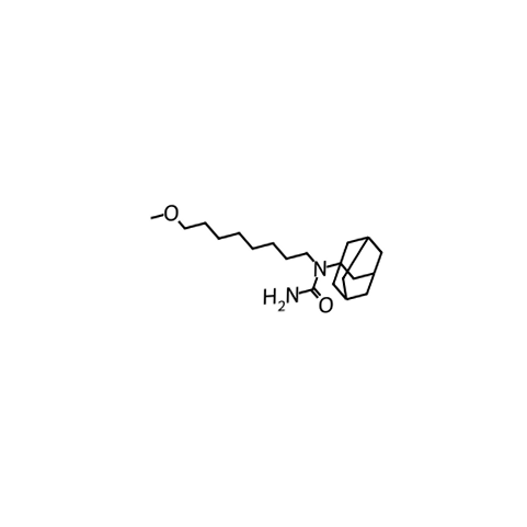 COCCCCCCCCN(C(N)=O)C12CC3CC(CC(C3)C1)C2